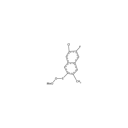 COOSc1cc2cc(Cl)c(F)cc2cc1C